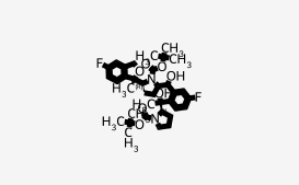 CC(C)(C)OC(=O)N1CCC[C@@H]1C(C)(O)c1ccc(F)cc1C(O)C1CC[C@H]([C@@]2(C)OCc3cc(F)ccc32)N1C(=O)OC(C)(C)C